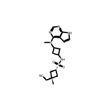 CN(c1ncnc2[nH]ccc12)C1CC(NS(=O)(=O)[C@H]2C[C@@](C)(CC#N)C2)C1